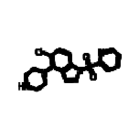 O=S(=O)(c1ccccn1)n1ccc2c(N3CCNCC3)c(Cl)ccc21